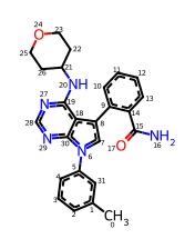 Cc1cccc(-n2cc(-c3ccccc3C(N)=O)c3c(NC4CCOCC4)ncnc32)c1